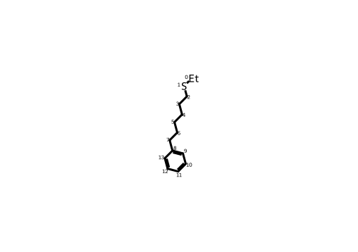 CCSCCCCCCc1ccccc1